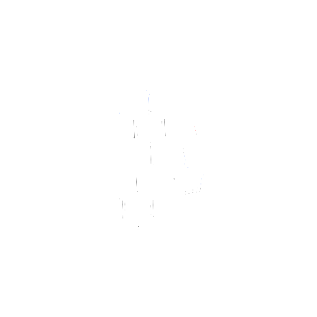 Nc1ccc(C=Cc2ccccc2)cc1N.OCCn1cccn1